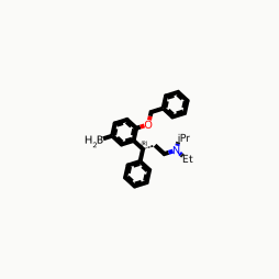 Bc1ccc(OCc2ccccc2)c([C@H](CCN(CC)C(C)C)c2ccccc2)c1